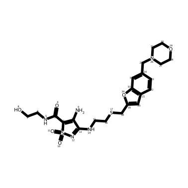 NC1=C(C(=O)NCCO)S(=O)(=O)N=C1NCCSCc1cc2ccc(CN3CCOCC3)cc2o1